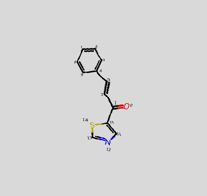 O=C(C=Cc1ccccc1)c1cncs1